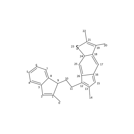 CC1=Cc2ccccc2C1CCC1=C(C)C=C2C=C3C(C)=C(C)SC3C=C21